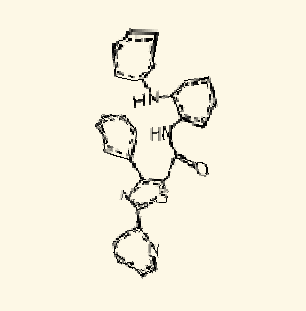 O=C(Nc1ccccc1Nc1ccccc1)c1sc(-c2ccccn2)nc1-c1ccccc1